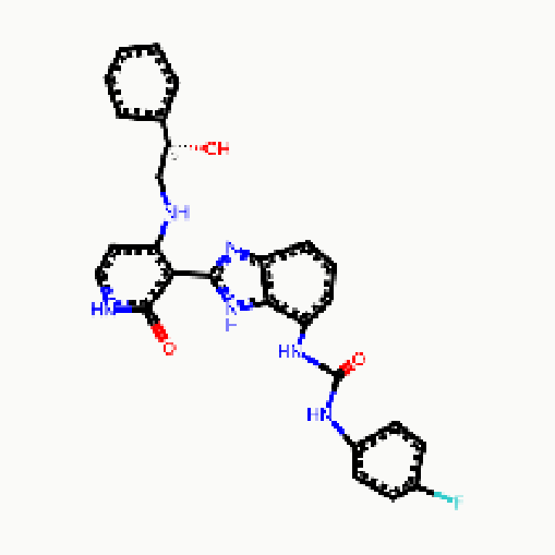 O=C(Nc1ccc(F)cc1)Nc1cccc2nc(-c3c(NC[C@@H](O)c4ccccc4)cc[nH]c3=O)[nH]c12